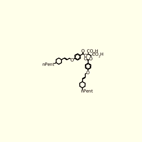 CCCCCC1CCC(/C=C/COc2ccc(C(=O)O[C@@H](C(=O)O)[C@@H](OC(=O)c3ccc(OC/C=C/C4CCC(CCCCC)CC4)cc3)C(=O)O)cc2)CC1